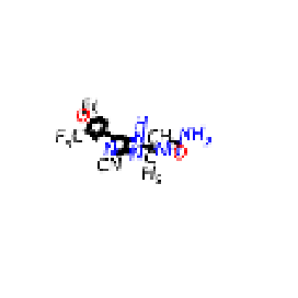 CCOc1ccc(-c2cc3[nH]c(C(C)(C)NCC(N)=O)nc3c(C#N)n2)cc1C(F)(F)F